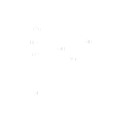 CCCC(c1cc(CCCCO)cc(C(C)(C)C)c1O)c1cc(CCCCO)cc(C(C)(C)C)c1O